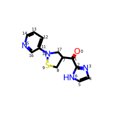 O=C(c1ncc[nH]1)C1CSN(c2cccnc2)C1